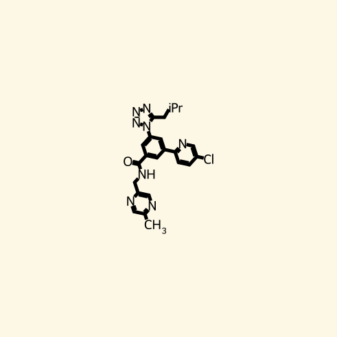 Cc1cnc(CNC(=O)c2cc(-c3ccc(Cl)cn3)cc(-n3nnnc3CC(C)C)c2)cn1